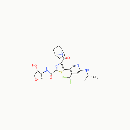 C[C@H](Nc1cc(C(F)F)c(-c2sc(C(=O)N[C@H]3COC[C@@H]3O)nc2C(=O)N2C3CCC2CC3)cn1)C(F)(F)F